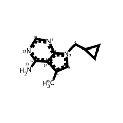 Cc1cn(CC2CC2)c2ncnc(N)c12